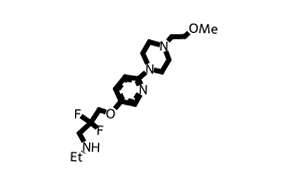 CCNCC(F)(F)COc1ccc(N2CCN(CCOC)CC2)nc1